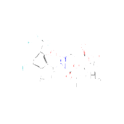 C[C@@H](NC(=O)OC(C)(C)C)c1cc(F)cc(C(F)(F)F)c1OCCCC(=O)O